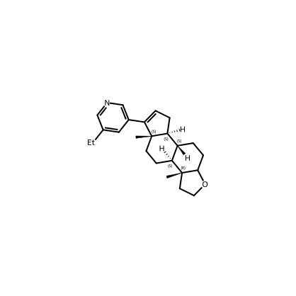 CCc1cncc(C2=CC[C@H]3[C@@H]4CCC5OCC[C@]5(C)[C@H]4CC[C@]23C)c1